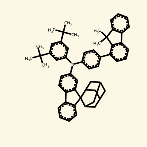 CC(C)(C)c1cc(N(c2ccc(-c3cccc4c3C(C)(C)c3ccccc3-4)cc2)c2ccc3c(c2)C2(c4ccccc4-3)C3CC4CC(C3)CC2C4)cc(C(C)(C)C)c1